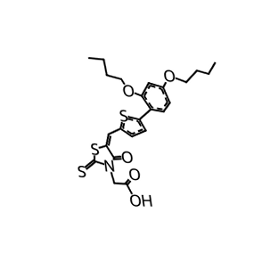 CCCCOc1ccc(-c2ccc(/C=C3/SC(=S)N(CC(=O)O)C3=O)s2)c(OCCCC)c1